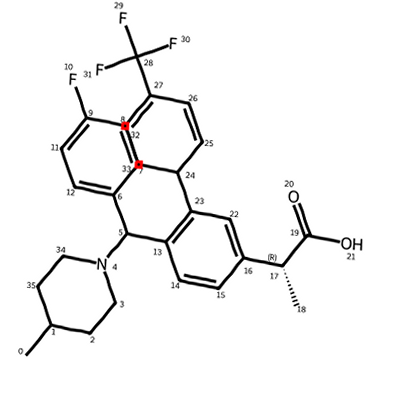 CC1CCN(C(c2ccc(F)cc2)c2ccc([C@@H](C)C(=O)O)cc2C2C=CC(C(F)(F)F)=CC2)CC1